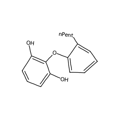 CCCCCc1ccccc1Oc1c(O)cccc1O